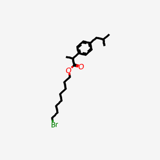 CC(C)Cc1ccc(C(C)C(=O)OCCCCCCCCBr)cc1